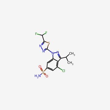 CC(C)c1nn(-c2nnc(C(F)F)s2)c2cc(S(N)(=O)=O)cc(Cl)c12